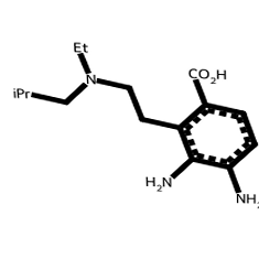 CCN(CCc1c(C(=O)O)ccc(N)c1N)CC(C)C